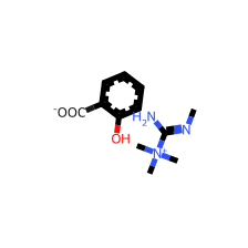 C/N=C(\N)[N+](C)(C)C.O=C([O-])c1ccccc1O